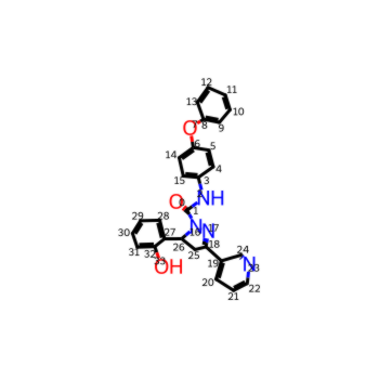 O=C(Nc1ccc(Oc2ccccc2)cc1)N1N=C(c2cccnc2)CC1c1ccccc1O